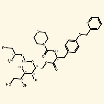 CC(C)C[C@H](N)OBO[C@H](COC(=O)[C@H](Cc1ccc(OCc2ccccn2)cc1)NC(=O)N1CCOCC1)[C@@H](O)[C@H](O)[C@H](O)CO